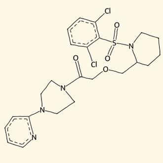 O=C(COCC1CCCCN1S(=O)(=O)c1c(Cl)cccc1Cl)N1CCN(c2ccccn2)CC1